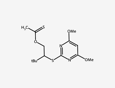 COc1cc(OC)nc(SC(COC(C)=S)C(C)(C)C)n1